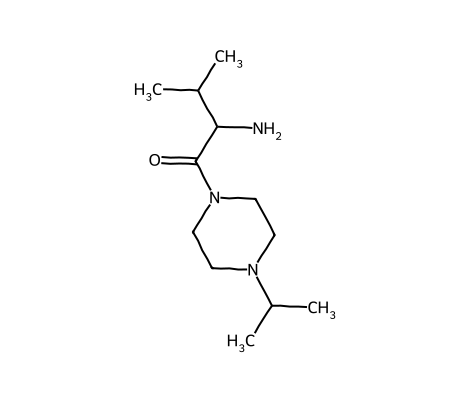 CC(C)C(N)C(=O)N1CCN(C(C)C)CC1